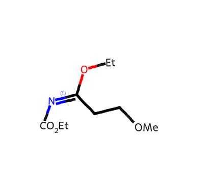 CCOC(=O)/N=C(\CCOC)OCC